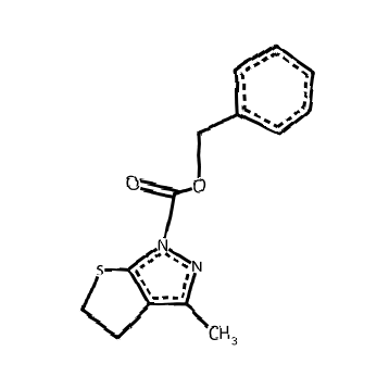 Cc1nn(C(=O)OCc2ccccc2)c2c1CCS2